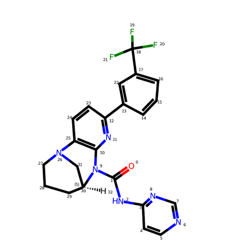 O=C(Nc1ccncn1)N1c2nc(-c3cccc(C(F)(F)F)c3)ccc2N2CCC[C@H]1C2